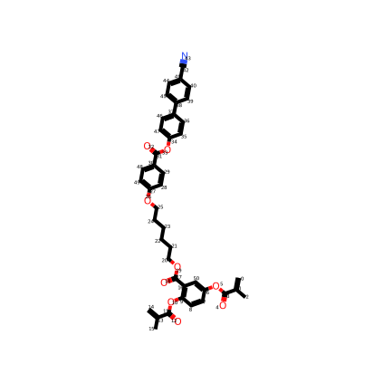 C=C(C)C(=O)Oc1ccc(OC(=O)C(=C)C)c(C(=O)OCCCCCCOc2ccc(C(=O)Oc3ccc(-c4ccc(C#N)cc4)cc3)cc2)c1